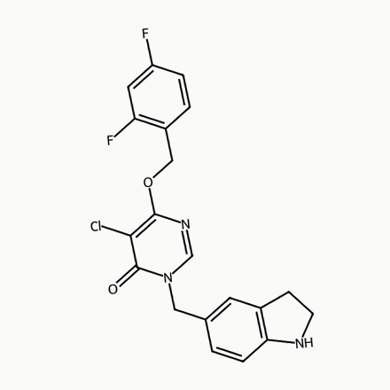 O=c1c(Cl)c(OCc2ccc(F)cc2F)ncn1Cc1ccc2c(c1)CCN2